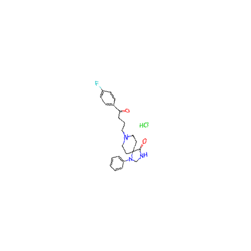 Cl.O=C(CCCN1CCC2(CC1)C(=O)NCN2c1ccccc1)c1ccc(F)cc1